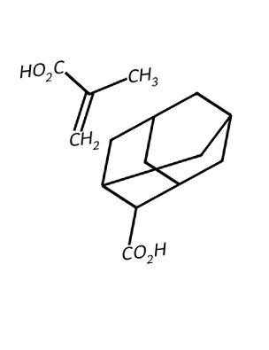 C=C(C)C(=O)O.O=C(O)C1C2CC3CC(C2)CC1C3